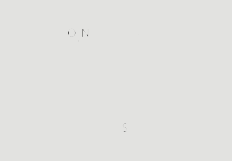 O=[N+]([O-])c1[c]ccc2sccc12